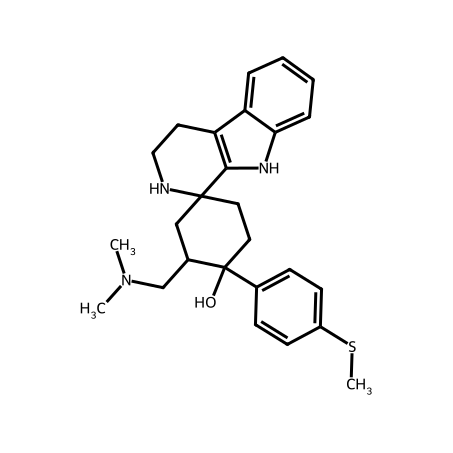 CSc1ccc(C2(O)CCC3(CC2CN(C)C)NCCc2c3[nH]c3ccccc23)cc1